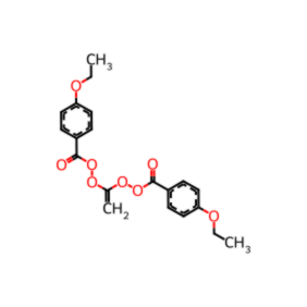 C=C(OOC(=O)c1ccc(OCC)cc1)OOC(=O)c1ccc(OCC)cc1